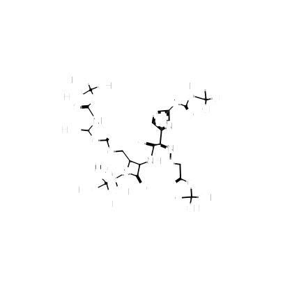 CC(NC(=O)OC(C)(C)C)OC(=O)OCC1C(NC(=O)/C(=N\OCC(=O)OC(C)(C)C)c2csc(NC(=O)OC(C)(C)C)n2)C(=O)N1[Si](C)(C)C(C)(C)C